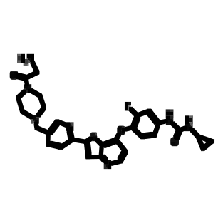 NCC(=O)N1CCN(Cc2ccc(-c3cc4nccc(Oc5ccc(NC(=O)NC6CC6)cc5F)c4s3)nc2)CC1